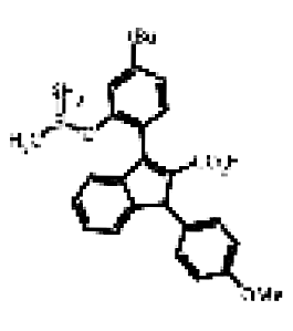 COc1ccc(C2C(C(=O)O)=C(c3ccc(C(C)(C)C)cc3O[SiH](C)C)c3ccccc32)cc1